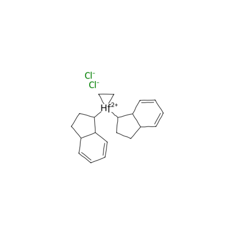 C1=CC2CC[CH]([Hf+2]3([CH]4CCC5C=CC=CC54)[CH2][CH2]3)C2C=C1.[Cl-].[Cl-]